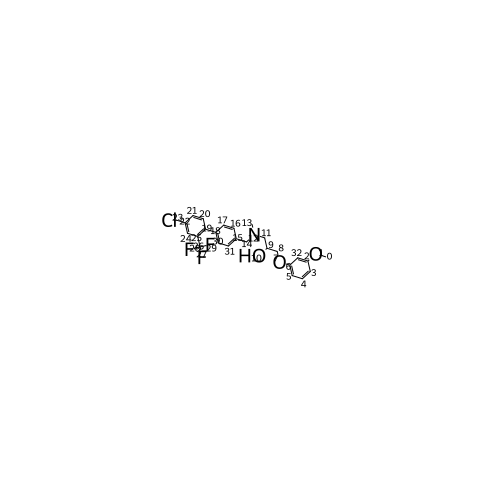 COc1cccc(OCC(O)CN(C)Cc2ccc(-c3ccc(Cl)cc3C(F)(F)F)cc2)c1